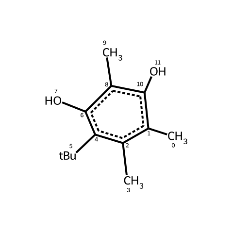 Cc1c(C)c(C(C)(C)C)c(O)c(C)c1O